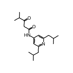 CC(C)Cc1cc(NC(=O)CC(=O)C(C)C)cc(CC(C)C)n1